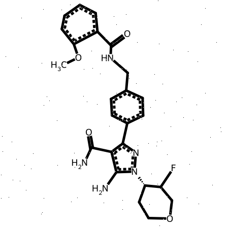 COc1ccccc1C(=O)NCc1ccc(-c2nn([C@H]3CCOCC3F)c(N)c2C(N)=O)cc1